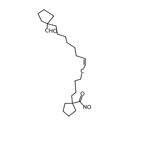 O=CC1(CCCCCC/C=C\CCCCCC2(C(=O)N=O)CCCC2)CCCC1